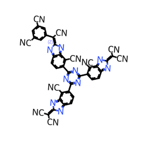 N#CC(C#N)=C1N=c2ccc(-c3nc(-c4ccc5c(c4C#N)=NC(=C(C#N)C#N)N=5)nc(-c4ccc5c(c4C#N)=N/C(=C(\C#N)c4cc(C#N)cc(C#N)c4)N=5)n3)c(C#N)c2=N1